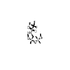 CO[Si](C)(C)O[Si](C)(CNS(=O)(=O)C(F)(F)F)OC